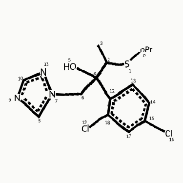 CCCSC(C)C(O)(Cn1cncn1)c1ccc(Cl)cc1Cl